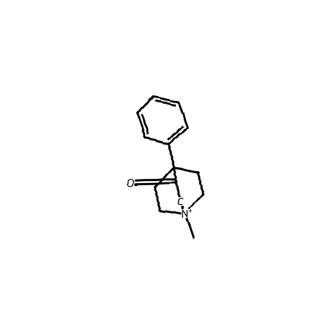 C[N+]12CCC(c3ccccc3)(CC1)C(=O)C2